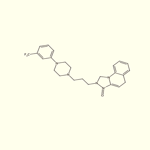 O=[N+]1C2=CCc3ccccc3N2CN1CCCN1CCN(c2cccc(C(F)(F)F)c2)CC1